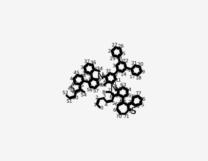 C/C=C\C/C=C\c1c(C)n(-c2cc(-c3cc(-c4ccccc4)cc(-c4ccccc4)c3)cc(N3Cc4ccccc4-c4c(-c5cccc6sc(/C=C\C)c(C)c56)cccc43)c2C)c2cccc(C3=CC=CCc4sc5ccccc5c43)c12